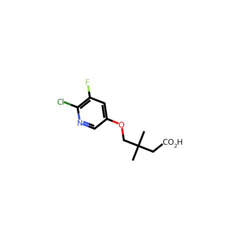 CC(C)(COc1cnc(Cl)c(F)c1)CC(=O)O